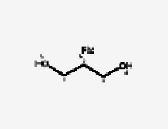 OCCCO.[Pb]